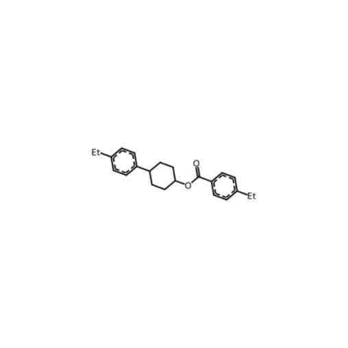 CCc1ccc(C(=O)OC2CCC(c3ccc(CC)cc3)CC2)cc1